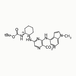 Cn1ccc2c(Nc3nc(N[C@@H]4CCCC[C@@H]4NC(=O)OC(C)(C)C)cnc3C(=O)O)cccc21